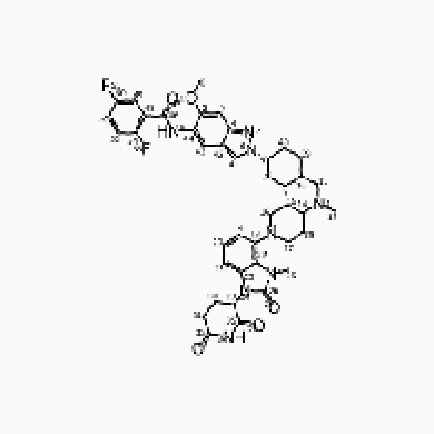 COc1cc2nn([C@H]3CC[C@H](CN(C)C4CCN(c5cccc6c5n(C)c(=O)n6C5CCC(=O)NC5=O)CC4)CC3)cc2cc1NC(=O)c1cc(F)ccc1F